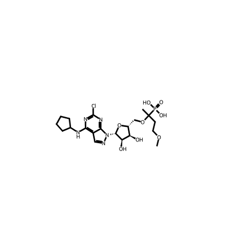 COCCC(C)(OC[C@H]1O[C@@H](n2ncc3c(NC4CCCC4)nc(Cl)nc32)[C@H](O)[C@@H]1O)P(=O)(O)O